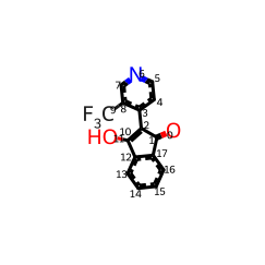 O=C1C(c2ccncc2C(F)(F)F)=C(O)c2ccccc21